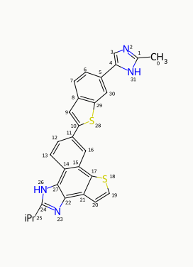 Cc1ncc(-c2ccc3cc(-c4ccc5c(c4)c4sccc4c4nc(C(C)C)[nH]c54)sc3c2)[nH]1